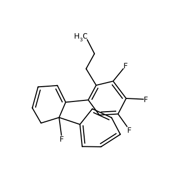 CCCc1c(C2=CC=CCC2(F)c2ccccc2)cc(F)c(F)c1F